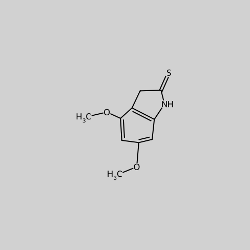 COc1cc2c(c(OC)c1)CC(=S)N2